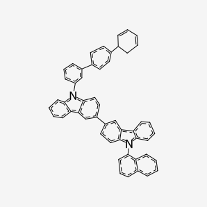 C1=CCC(c2ccc(-c3cccc(-n4c5ccccc5c5cc(-c6ccc7c(c6)c6ccccc6n7-c6cccc7ccccc67)ccc54)c3)cc2)C=C1